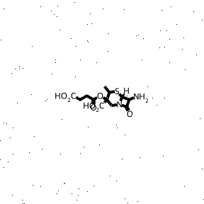 CC1S[C@@H]2C(N)C(=O)N2CC1(OC(=O)CCC(=O)O)C(=O)O